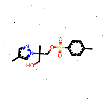 Cc1ccc(S(=O)(=O)OCC(C)(CO)n2cc(C)cn2)cc1